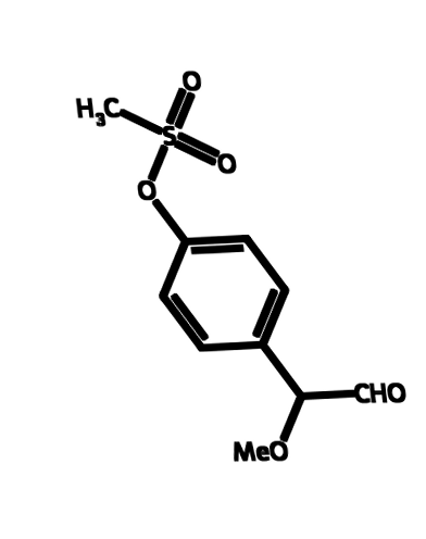 COC(C=O)c1ccc(OS(C)(=O)=O)cc1